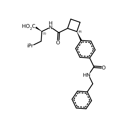 CC(C)C[C@H](NC(=O)C1CC[C@H]1c1ccc(C(=O)NCc2ccccc2)cc1)C(=O)O